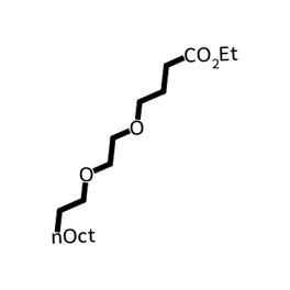 CCCCCCCCCCOCCOCCCC(=O)OCC